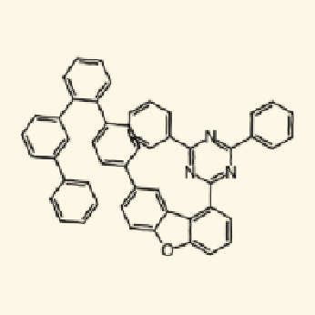 c1ccc(-c2cccc(-c3ccccc3-c3ccc(-c4ccc5oc6cccc(-c7nc(-c8ccccc8)nc(-c8ccccc8)n7)c6c5c4)cc3)c2)cc1